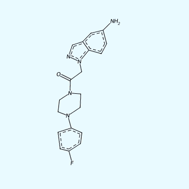 Nc1ccc2c(cnn2CC(=O)N2CCN(c3ccc(F)cc3)CC2)c1